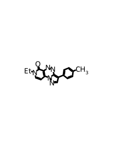 CCn1ccc2c(nnc3c(-c4ccc(C)cc4)cnn32)c1=O